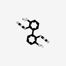 Cc1cccc(-c2cccc(C)c2N=C=O)c1N=C=O